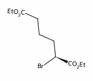 CCOC(=O)CCC[C@H](Br)C(=O)OCC